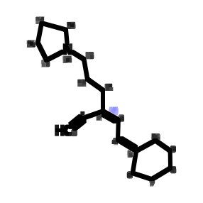 C#C/C(=C\C=C1CCCCC1)CCCN1CCCC1